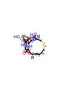 CC(C)[C@H]1NC(=O)[C@H]2CSSCC/C=C/[C@H](CC(=O)N[C@H](CCC(=O)O)C(=O)N2)OC(=O)CNC1=O